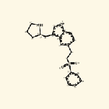 O=S(=O)(CCc1ccc2[nH]cc(C[C@H]3CCCN3)c2c1)c1ccccc1